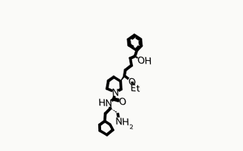 CCOC(CCC[C@H](O)c1ccccc1)[C@@H]1CCCN(C(=O)N[C@H](CN)CC2CCCCC2)C1